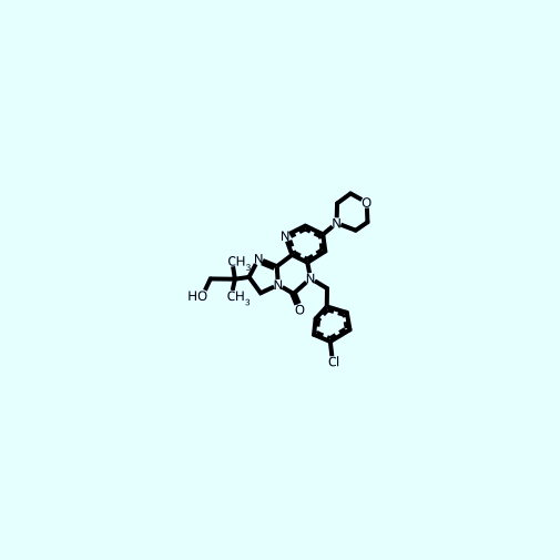 CC(C)(CO)C1CN2C(=O)N(Cc3ccc(Cl)cc3)c3cc(N4CCOCC4)cnc3C2=N1